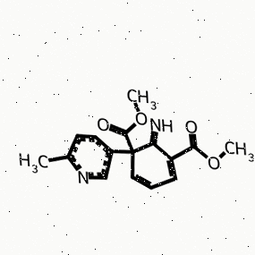 COC(=O)C1=CC=CC(C(=O)OC)(c2ccc(C)nc2)C1=N